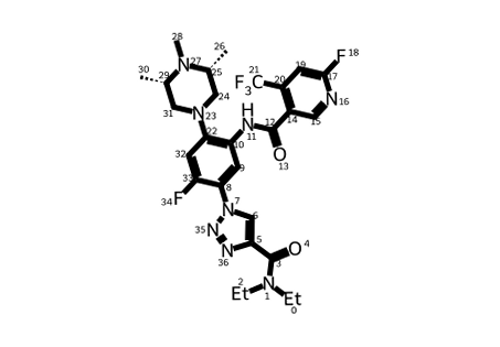 CCN(CC)C(=O)c1cn(-c2cc(NC(=O)c3cnc(F)cc3C(F)(F)F)c(N3C[C@@H](C)N(C)[C@@H](C)C3)cc2F)nn1